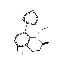 CON1C(=O)CCc2c(O)ccc(-c3ccccc3)c21